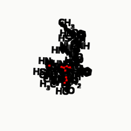 CCCCCNC(=O)[C@H](CS)NC(=O)[C@H](Cc1ccccc1)NC(=O)CNC(=O)[C@H](CCCNC(=N)N)NC(=O)[C@H](Cc1c[nH]c2ccccc12)NC(=O)[C@H](CS)NC(=O)[C@H](CC(N)=O)NC(=O)[C@H](CCC(=O)O)NC(=O)[C@H](CC(C)C)NC(=O)[C@H](Cc1c[nH]c2ccccc12)NC(=O)[C@H](Cc1c[nH]cn1)NC(=O)[C@H](CS)NC(C)=O